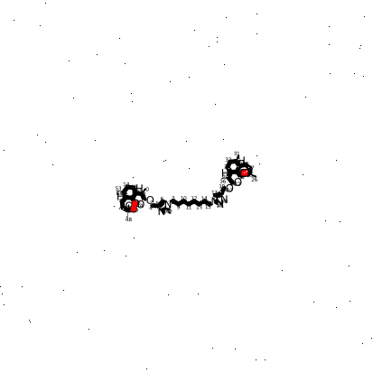 C[C@H]1[C@H](OCc2cn(CCCCCCCCn3cc(CO[C@@H]4O[C@@H]5O[C@]6(C)CC[C@H]7[C@H](C)CC[C@@H]([C@H]4C)[C@@]57OO6)nn3)nn2)O[C@@H]2O[C@]3(C)CC[C@H]4[C@H](C)CC[C@@H]1[C@@]24OO3